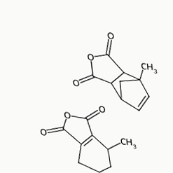 CC12C=CC(C1)C1C(=O)OC(=O)C12.CC1CCCC2=C1C(=O)OC2=O